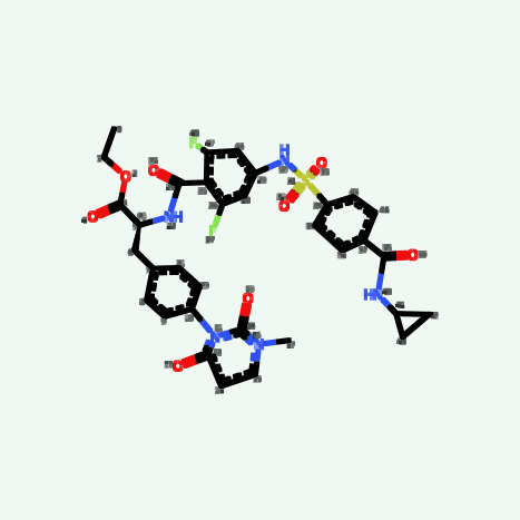 CCOC(=O)[C@H](Cc1ccc(-n2c(=O)ccn(C)c2=O)cc1)NC(=O)c1c(F)cc(NS(=O)(=O)c2ccc(C(=O)NC3CC3)cc2)cc1F